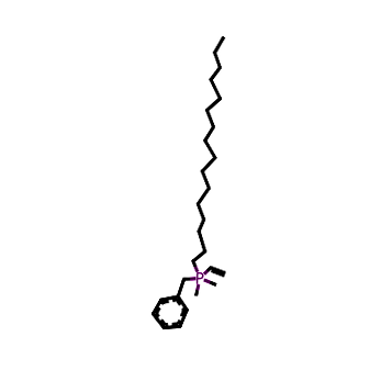 C=CP(C)(C)(CCCCCCCCCCCCCCCC)Cc1ccccc1